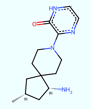 C[C@H]1C[C@@H](N)C2(CCN(c3nc[c][nH]c3=O)CC2)C1